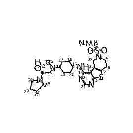 CNS(=O)(=O)N1CCc2sc3ncnc(N[C@H]4CC[C@H](N(C)CC(=O)N5CCCC5)CC4)c3c2C1